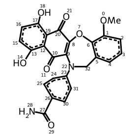 COc1cccc2c1OC1=C(C(=O)c3c(O)ccc(O)c3C1=O)N(c1ccc(C(N)=O)cc1)C2